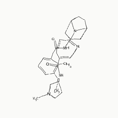 COc1cccc(C(=O)NC2CC3CCC(C2)N3c2ccc(C(=O)N[C@@H]3CCN(C)C3)cn2)c1C